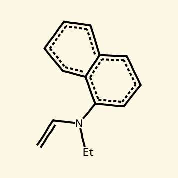 C=CN(CC)c1cccc2ccccc12